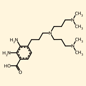 CN(C)CCCN(CCCc1ccc(C(=O)O)c(N)c1N)CCCN(C)C